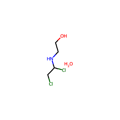 O.OCCNC(Cl)CCl